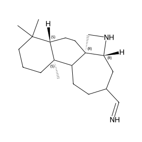 CC1(C)CCC[C@]2(C)C3CCC(C=N)C[C@H]4NC[C@@]34CC[C@@H]12